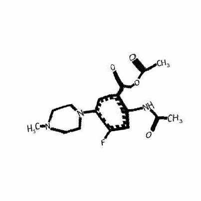 CC(=O)Nc1cc(F)c(N2CCN(C)CC2)cc1C(=O)OC(C)=O